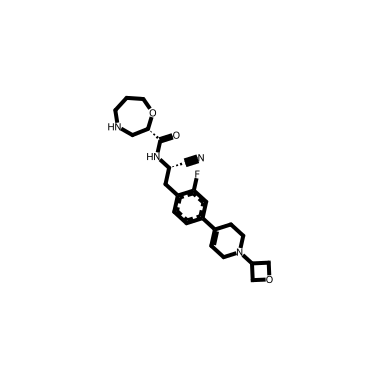 N#C[C@H](Cc1ccc(C2=CCN(C3COC3)CC2)cc1F)NC(=O)[C@@H]1CNCCCO1